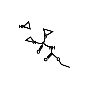 C1CN1.CCOC(=O)NP(=O)(N1CC1)N1CC1